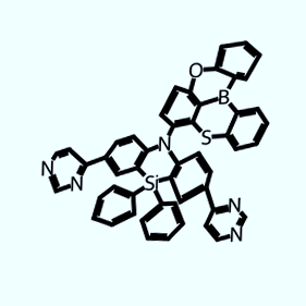 c1ccc([Si]2(c3ccccc3)c3cc(-c4ccncn4)ccc3N(c3ccc4c5c3Sc3ccccc3B5c3ccccc3O4)c3ccc(-c4ccncn4)cc32)cc1